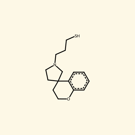 SCCCN1CCC2(CCOc3ccccc32)C1